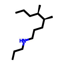 CCCNCCC[C@H](C)[C@H](C)CCC